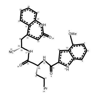 COc1cccc2[nH]c(C(=O)N[C@H](CCC(C)C)C(=O)N[C@H](C#N)Cc3cc(=O)[nH]c4ccccc34)cc12